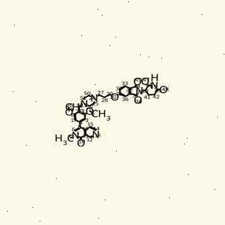 COc1cc(-c2cn(C)c(=O)c3cnccc23)cc(OC)c1CN1CCN(CCCOc2ccc3c(c2)C(=O)N(C2CCC(=O)NC2=O)C3=O)CC1